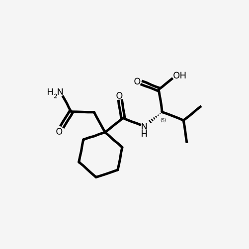 CC(C)[C@H](NC(=O)C1(CC(N)=O)CCCCC1)C(=O)O